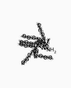 C#CCN(CC(N)=O)C(=O)CN(CC#C)C(=O)CN(CCOCCOCCOC)C(=O)CN(CCOCCOCCOC)C(=O)CN(CCOCCOCCOC)C(=O)CN(CCOCCOCCOC)C(=O)CN(CCOCCOCCOC)C(=O)CN(C)CCOCCOCCOC